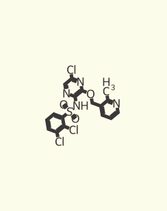 Cc1ncccc1COc1nc(Cl)cnc1NS(=O)(=O)c1cccc(Cl)c1Cl